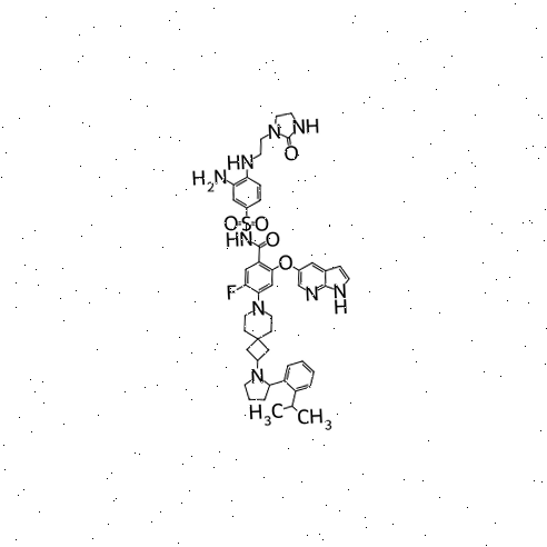 CC(C)c1ccccc1C1CCCN1C1CC2(CCN(c3cc(Oc4cnc5[nH]ccc5c4)c(C(=O)NS(=O)(=O)c4ccc(NCCN5CCNC5=O)c(N)c4)cc3F)CC2)C1